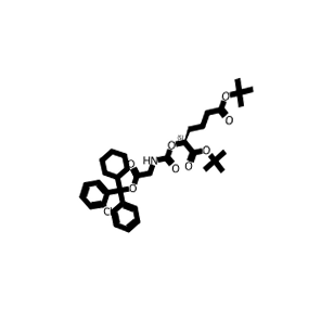 CC(C)(C)OC(=O)CCC[C@H](OC(=O)NCC(=O)OC(c1ccccc1)(c1ccccc1Cl)C1CCCCC1)C(=O)OC(C)(C)C